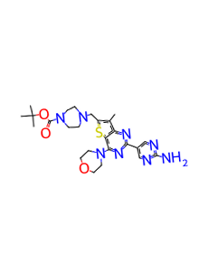 Cc1c(CN2CCN(C(=O)OC(C)(C)C)CC2)sc2c(N3CCOCC3)nc(-c3cnc(N)nc3)nc12